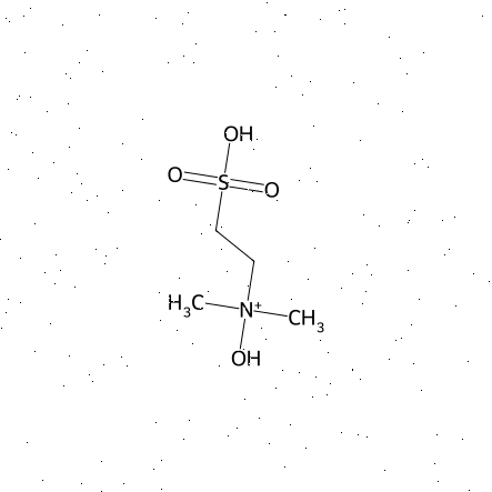 C[N+](C)(O)CCS(=O)(=O)O